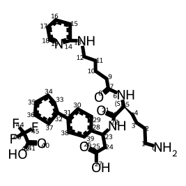 NCCCC[C@H](NC(=O)CCCCNc1ccccn1)C(=O)NC(CC(=O)O)c1ccc(-c2ccccc2)cc1.O=C(O)C(F)(F)F